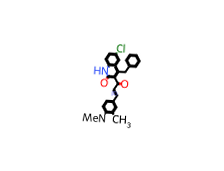 CNc1ccc(/C=C/C(=O)c2c(Cc3ccccc3)c3cc(Cl)ccc3[nH]c2=O)cc1C